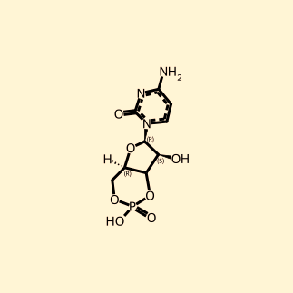 Nc1ccn([C@@H]2O[C@@H]3COP(=O)(O)OC3[C@@H]2O)c(=O)n1